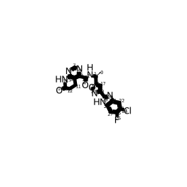 C[C@@H](NC(=O)c1ncnc2c1CCC(=O)N2)c1cc(-c2nc3cc(Cl)c(F)cc3[nH]2)no1